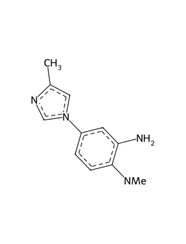 CNc1ccc(-n2cnc(C)c2)cc1N